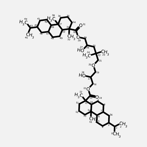 CC(C)C1CCC2C(CCC3C(C)(C(=O)OCC(O)COCC(C)(C)CC(O)COC(=O)C4(C)CCCC5(C)C6CCC(C(C)C)CC6CCC45)CCCC23C)C1